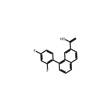 C=C(O)c1ccc2cccc(-c3ccc(F)cc3F)c2c1